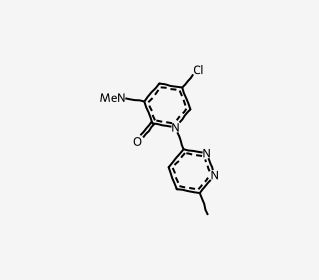 CNc1cc(Cl)cn(-c2ccc(C)nn2)c1=O